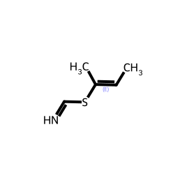 C/C=C(\C)SC=N